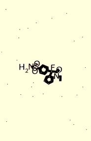 CCN1C(=O)C(F)(c2ccc(S(N)(=O)=O)cc2)c2ccccc21